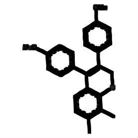 COc1ccc(C2=C(c3ccc(OC)cc3)c3ccc(C)c(C)c3OC2)cc1